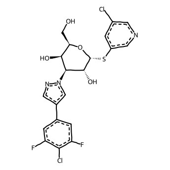 OC[C@H]1O[C@H](Sc2cncc(Cl)c2)[C@H](O)[C@@H](n2cc(-c3cc(F)c(Cl)c(F)c3)cn2)[C@H]1O